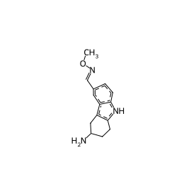 CON=Cc1ccc2[nH]c3c(c2c1)CC(N)CC3